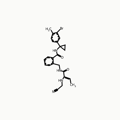 C/C=C(\NCC#N)C(=O)NCc1ccccc1C(=O)NC1(c2ccc(C)c(Br)c2)CC1